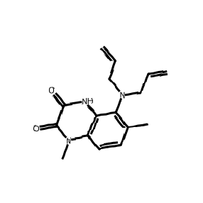 C=CCN(CC=C)c1c(C)ccc2c1[nH]c(=O)c(=O)n2C